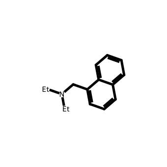 CCN(CC)Cc1cccc2ccccc12